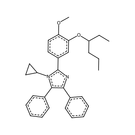 CCCC(CC)Oc1cc(-c2nc(-c3ccccc3)c(-c3ccccc3)n2C2CC2)ccc1OC